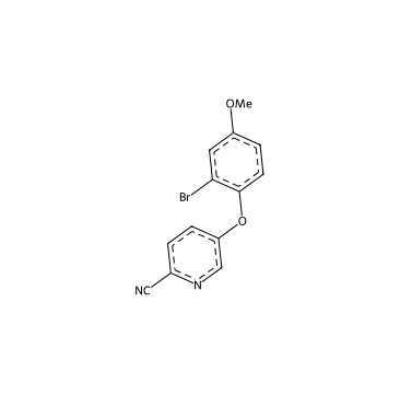 COc1ccc(Oc2ccc(C#N)nc2)c(Br)c1